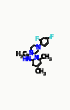 C=C(Nc1cc(C)cc(C)n1)N1CCN(c2ccc(F)cc2F)CC1